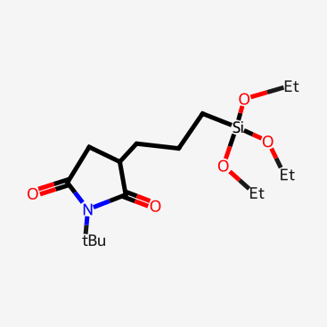 CCO[Si](CCCC1CC(=O)N(C(C)(C)C)C1=O)(OCC)OCC